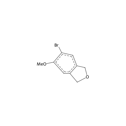 COc1cc2c(cc1Br)COC2